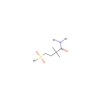 CCN(CC)C(=O)C(C)(C)CCS(=O)(=O)C(C)C